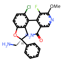 COc1ncc(C(N)=O)c(-c2c(Cl)ccc3c2C[C@@](CN)(c2ccccc2)O3)c1F